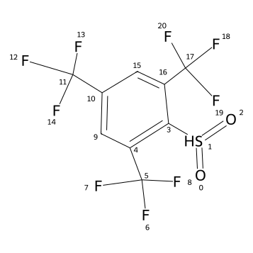 O=[SH](=O)c1c(C(F)(F)F)cc(C(F)(F)F)cc1C(F)(F)F